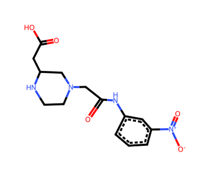 O=C(O)CC1CN(CC(=O)Nc2cccc([N+](=O)[O-])c2)CCN1